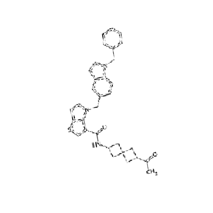 CC(=O)C1CC2(CC(NC(=O)c3csc4ccn(Cc5ccc6c(ccn6Cc6ccccc6)c5)c34)C2)C1